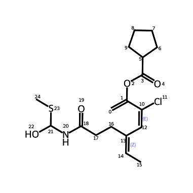 C=C(OC(=O)C1CCCC1)/C(Cl)=C\C(=C/C)CCC(=O)NC(O)SC